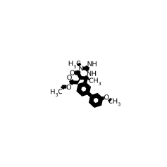 CCOC(=O)C[C@H]1C(=O)N(C)C(=N)N[C@]1(C)c1cccc(-c2cccc(OC)c2)c1